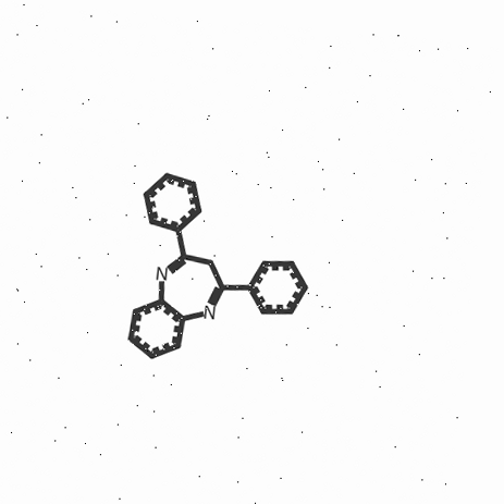 c1ccc(C2=Nc3ccccc3N=C(c3ccccc3)C2)cc1